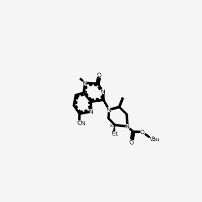 CC[C@H]1CN(c2nc(=O)n(C)c3ccc(C#N)nc23)C(C)CN1C(=O)OC(C)(C)C